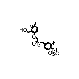 Cc1ccc(OCC(=O)N(C)Cc2ccc(NS(C)(=O)=O)c(F)c2)c(CO)n1